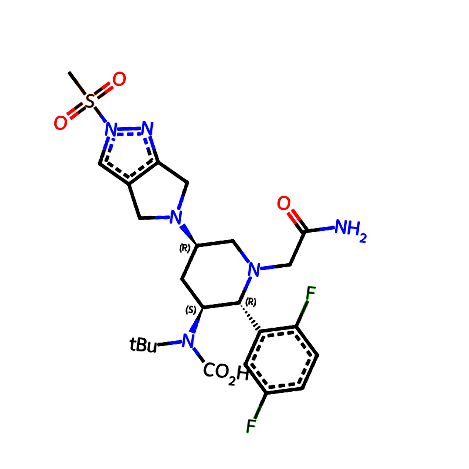 CC(C)(C)N(C(=O)O)[C@H]1C[C@@H](N2Cc3cn(S(C)(=O)=O)nc3C2)CN(CC(N)=O)[C@@H]1c1cc(F)ccc1F